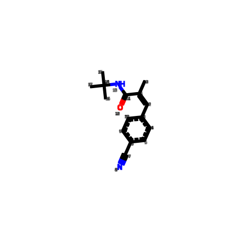 C/C(=C/c1ccc(C#N)cc1)C(=O)NC(C)(C)C